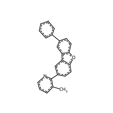 Cc1cccnc1-c1ccc2oc3ccc(-c4c[c]ccc4)cc3c2c1